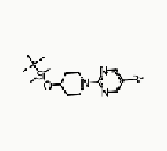 CC(C)(C)[Si](C)(C)OC1CCN(c2ncc(Br)cn2)CC1